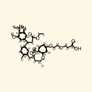 CCOC(=O)CC(c1ccc(C)c(CN2C[C@@H](C)Oc3cc(OCCOCCC(=O)O)ccc3S2(=O)=O)c1)c1cc(OC)c2c(c1)nnn2C